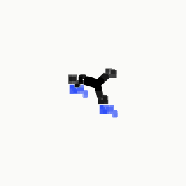 C=C(CC)CC.N.N